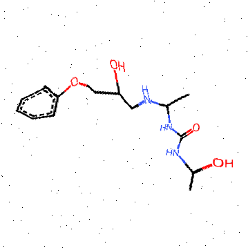 CC(O)NC(=O)NC(C)NCC(O)COc1ccccc1